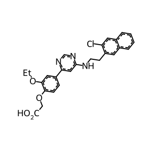 CCOc1cc(-c2cc(NCCc3cc4ccccc4cc3Cl)ncn2)ccc1OCC(=O)O